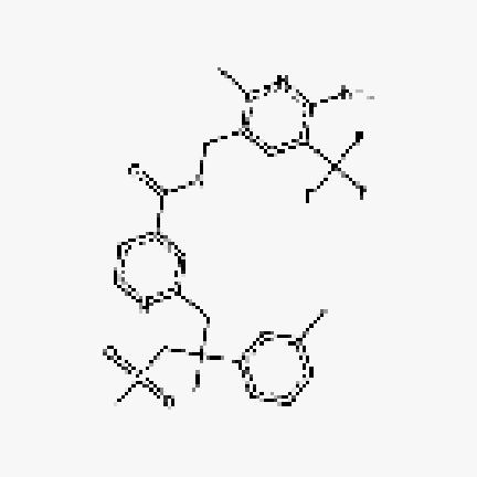 Cc1cccc(C(C)(Cc2cc(C(=O)NCc3cc(C(F)(F)F)c(N)nc3C)ccn2)CS(C)(=O)=O)c1